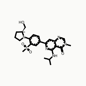 CC(C)Nc1nc(-c2ccc(N3CCC[C@H]3CO)c(S(C)(=O)=O)c2)cc2ncn(C)c(=O)c12